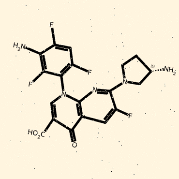 Nc1c(F)cc(F)c(-n2cc(C(=O)O)c(=O)c3cc(F)c(N4CC[C@H](N)C4)nc32)c1F